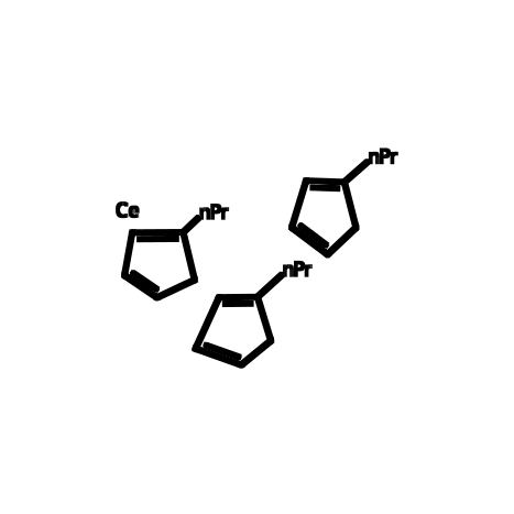 CCCC1=CC=CC1.CCCC1=CC=CC1.CCCC1=CC=CC1.[Ce]